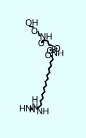 N=NNC(=N)CCCCCCCCCCCCCCCC(=O)NS(=O)(=O)CCCC(=O)NCCOCCO